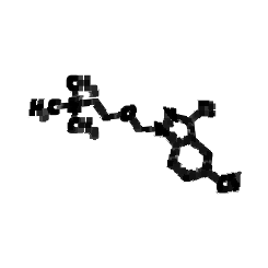 CCc1nn(COCC[Si](C)(C)C)c2ccc(C#N)cc12